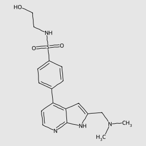 CN(C)Cc1cc2c(-c3ccc(S(=O)(=O)NCCO)cc3)ccnc2[nH]1